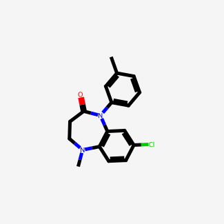 Cc1cccc(N2C(=O)CCN(C)c3ccc(Cl)cc32)c1